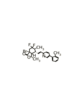 Cc1ccccc1-c1ccc(/C=C/[C@@H]2[C@@H]3[C@@H](C)OC(=O)[C@]3(Br)CC(F)(F)[C@H]2C)nc1